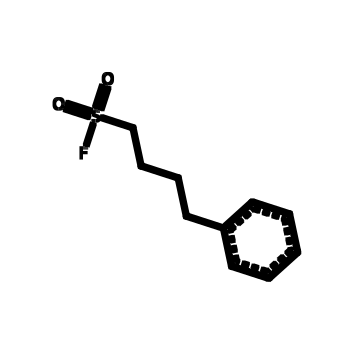 O=S(=O)(F)CCCCc1ccccc1